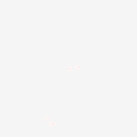 CCCCCCCCCCCCCCCC(=O)OCCCCCCCCCCCCCC(=O)O